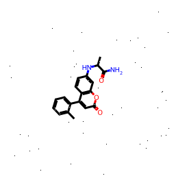 Cc1ccccc1-c1cc(=O)oc2cc(NC(C)C(N)=O)ccc12